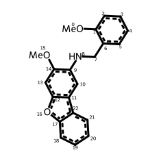 COc1ccccc1CNc1cc2c(cc1OC)oc1ccccc12